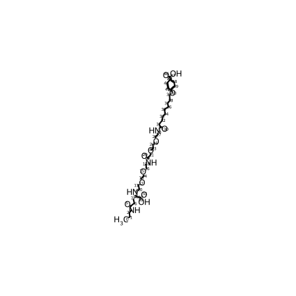 CCCNC(=O)CC[C@H](NCCOCCOCCNC(=O)COCCOCCNC(=O)CCCCCCCCCOc1ccc(C(=O)O)cc1)C(=O)O